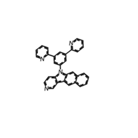 c1ccc(-c2cc(-c3ccccn3)cc(-n3c4ccncc4c4cc5ccccc5cc43)c2)nc1